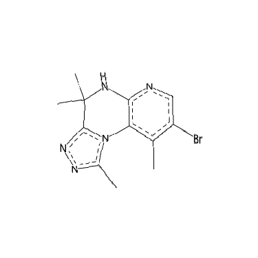 Cc1c(Br)cnc2c1-n1c(C)nnc1C(C)(C)N2